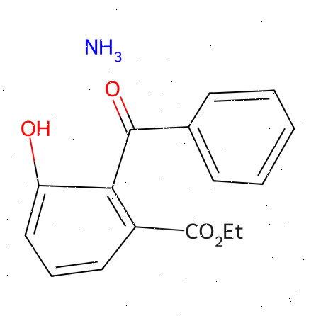 CCOC(=O)c1cccc(O)c1C(=O)c1ccccc1.N